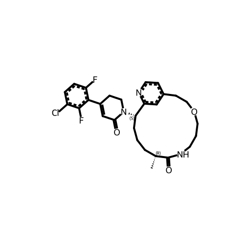 C[C@@H]1CCC[C@H](N2CCC(c3c(F)ccc(Cl)c3F)=CC2=O)c2cc(ccn2)CCOCCCNC1=O